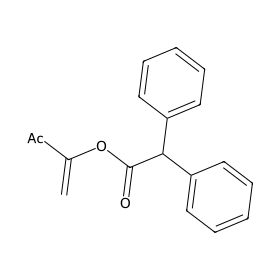 C=C(OC(=O)C(c1ccccc1)c1ccccc1)C(C)=O